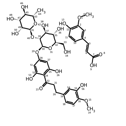 COc1cc(/C=C/C(=O)O)ccc1O.COc1ccc(CCC(=O)c2c(O)cc(O[C@@H]3O[C@H](CO)[C@@H](O)[C@H](O)[C@H]3O[C@@H]3O[C@@H](C)[C@H](O)[C@@H](O)[C@H]3O)cc2O)cc1O